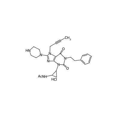 CC#CCn1c(N2CCNCC2)nc2c1c(=O)n(CCc1ccccc1)c(=O)n2C1CC1NC(C)=O.Cl